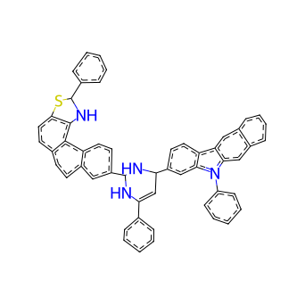 C1=C(c2ccccc2)NC(c2ccc3c(ccc4ccc5c(c43)NC(c3ccccc3)S5)c2)NC1c1ccc2c3cc4ccccc4cc3n(-c3ccccc3)c2c1